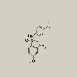 COc1ccc(S(=O)(=O)Nc2ccc(C(C)C)cc2)c(N)c1